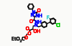 CCOC(=O)OCOC(=O)[C@H](O)CN(Cc1ccc(-c2cc(Cl)ccc2F)cc1)NC(=O)c1nn(-c2ccccc2)c(=O)[nH]1